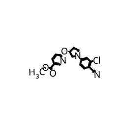 COC(=O)c1ccc(O[C@@H]2CCN(c3ccc(C#N)c(Cl)c3)C2)nc1